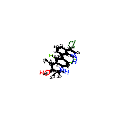 C[C@H]1c2c(cc(F)c(-c3cccc4c(Cl)c[nH]c34)c2F)NC(C)(C)[C@@H]1O